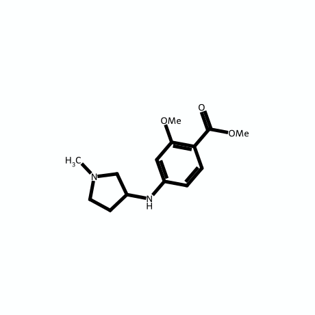 COC(=O)c1ccc(NC2CCN(C)C2)cc1OC